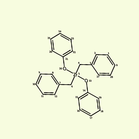 c1ccc([CH2][Zr]([CH2]c2ccccc2)([O]c2ccccc2)[O]c2ccccc2)cc1